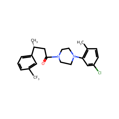 Cc1ccc(Cl)cc1N1CCN(C(=O)C[C@@H](C)c2cccc(C(F)(F)F)c2)CC1